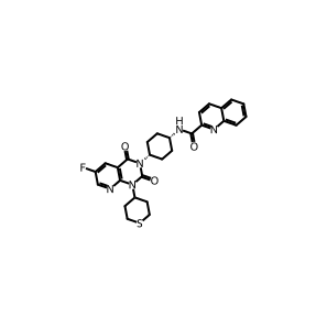 O=C(N[C@H]1CC[C@@H](n2c(=O)c3cc(F)cnc3n(C3CCSCC3)c2=O)CC1)c1ccc2ccccc2n1